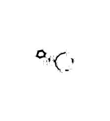 N#CC1(/N=N/c2ccccc2)CCCCCCCCCCC1